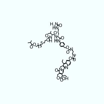 CCc1c2c(nc3ccc(OC(=O)N(C)CCN(C)C(=O)OCc4ccc(NC(=O)[C@H](CCCNC(N)=O)NC(=O)[C@@H](NC(=O)OCCSSC(C)(C)COC(=O)C(C)C)C(C)C)cc4)cc13)-c1cc3c(c(=O)n1C2)COC(=O)[C@]3(O)CC